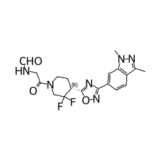 Cc1nn(C)c2cc(-c3noc([C@H]4CCN(C(=O)CNC=O)CC4(F)F)n3)ccc12